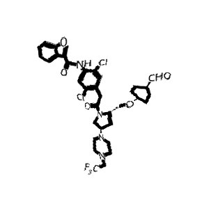 O=C[C@H]1CC[C@H](OC[C@@H]2C[C@H](N3CCN(CC(F)(F)F)CC3)CN2C(=O)Cc2cc(Cl)c(NC(=O)c3coc4ccccc34)cc2Cl)CC1